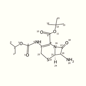 CC(C)OC(=O)NC1=C(C(=O)OC(C)(C)C)N2C(=O)C(N)[C@H]2SC1